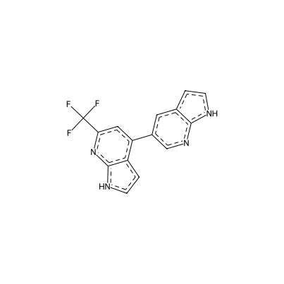 FC(F)(F)c1cc(-c2cnc3[nH]ccc3c2)c2cc[nH]c2n1